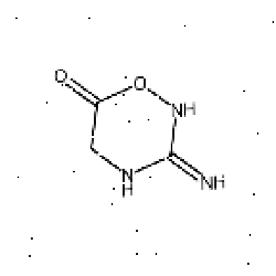 N=C1NCC(=O)ON1